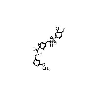 COc1cccc(CNC(=O)c2ccc(CNS(=O)(=O)c3ccc(F)c(Cl)c3)cn2)c1